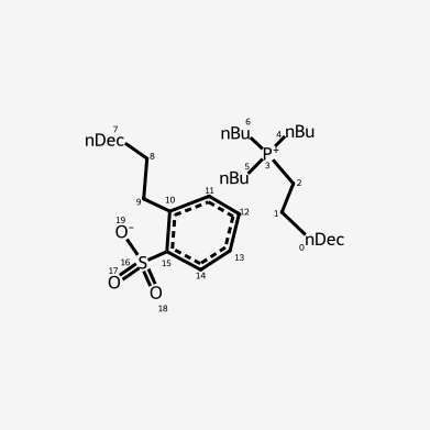 CCCCCCCCCCCC[P+](CCCC)(CCCC)CCCC.CCCCCCCCCCCCc1ccccc1S(=O)(=O)[O-]